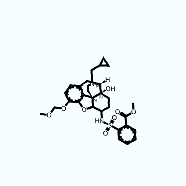 COCOc1ccc2c3c1OC1C(NS(=O)(=O)c4ccccc4C(=O)OC)CC[C@@]4(O)[C@@H](C2)N(CC2CC2)CC[C@]314